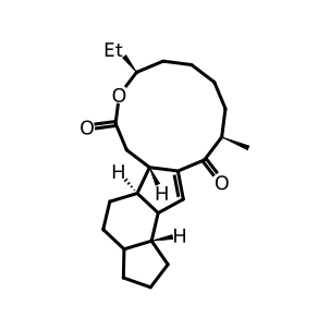 CC[C@H]1CCCC[C@@H](C)C(=O)C2=CC3[C@@H]4CCCC4CC[C@H]3[C@@H]2CC(=O)O1